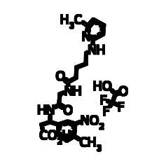 Cc1cccc(NCCCCC(=O)NCC(=O)NC(CC(=O)O)c2ccc(C)c([N+](=O)[O-])c2)n1.O=C(O)C(F)(F)F